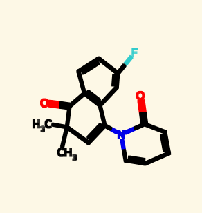 CC1(C)C=C(n2ccccc2=O)c2cc(F)ccc2C1=O